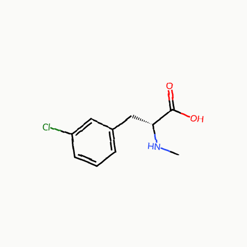 CN[C@H](Cc1cccc(Cl)c1)C(=O)O